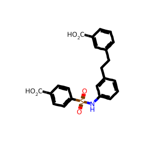 O=C(O)c1ccc(S(=O)(=O)Nc2cccc(CCc3cccc(C(=O)O)c3)c2)cc1